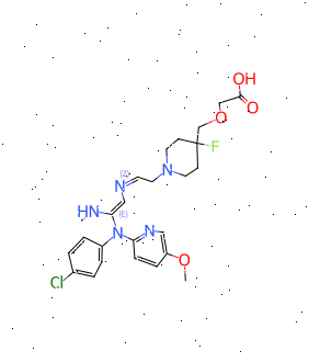 CN/C(=C\N=C/CN1CCC(F)(COCC(=O)O)CC1)N(c1ccc(Cl)cc1)c1ccc(OC)cn1